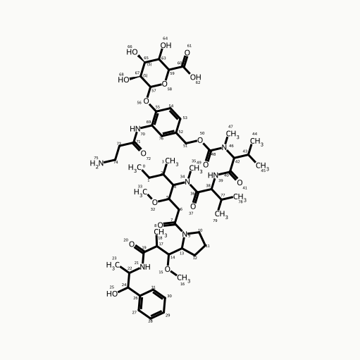 CCC(C)C(C(CC(=O)N1CCCC1C(OC)C(C)C(=O)NC(C)C(O)c1ccccc1)OC)N(C)C(=O)C(NC(=O)C(C(C)C)N(C)C(=O)OCc1ccc(OC2OC(C(=O)O)C(O)[C@H](O)[C@@H]2O)c(NC(=O)CCN)c1)C(C)C